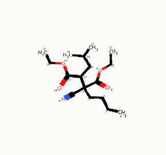 CCCCC(C#N)(C(=O)OCC)C(CC(C)C)C(=O)OCC